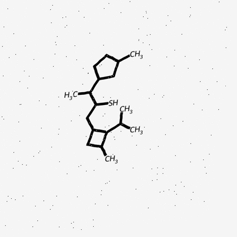 CC1CCC(C(C)C(S)CC2CC(C)C2C(C)C)C1